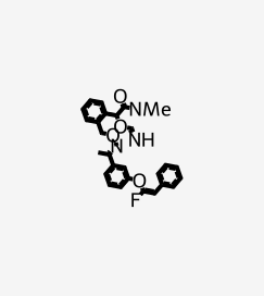 CNC(=O)C(OC=N)c1ccccc1CO/N=C(\C)c1cccc(O/C(F)=C\c2ccccc2)c1